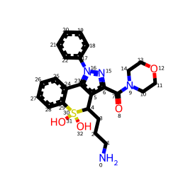 NCCCC1c2c(C(=O)N3CCOCC3)nn(-c3ccccc3)c2-c2ccccc2S1(O)O